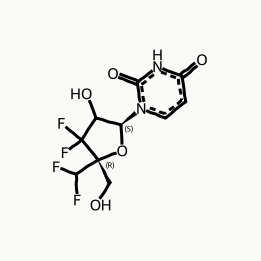 O=c1ccn([C@H]2O[C@](CO)(C(F)F)C(F)(F)C2O)c(=O)[nH]1